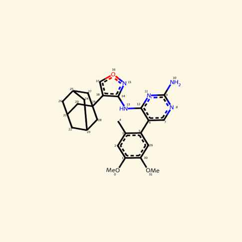 COc1cc(C)c(-c2cnc(N)nc2Nc2nocc2C23CC4CC(CC(C4)C2)C3)cc1OC